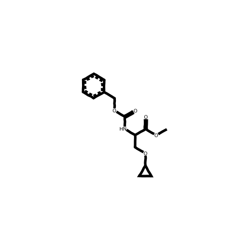 COC(=O)C(COC1CC1)NC(=O)OCc1ccccc1